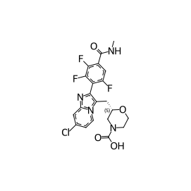 CNC(=O)c1cc(F)c(-c2nc3cc(Cl)ccn3c2C[C@H]2CN(C(=O)O)CCO2)c(F)c1F